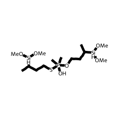 CO[SiH](OC)C(C)CCOP(C)(C)(O)SCCC(C)[SiH](OC)OC